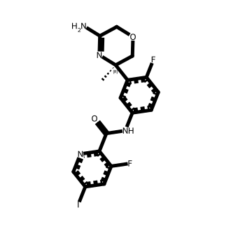 C[C@@]1(c2cc(NC(=O)c3ncc(I)cc3F)ccc2F)COCC(N)=N1